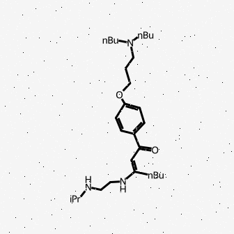 CCCC/C(=C\C(=O)c1ccc(OCCCN(CCCC)CCCC)cc1)NCCNC(C)C